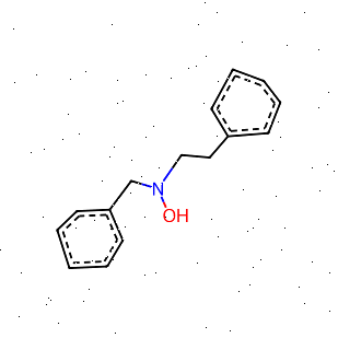 ON(CCc1ccccc1)Cc1ccccc1